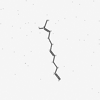 C=CCCC=CCCC=C(C)C